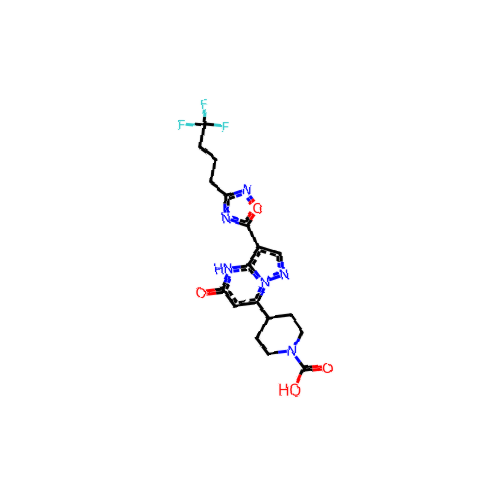 O=C(O)N1CCC(c2cc(=O)[nH]c3c(-c4nc(CCCC(F)(F)F)no4)cnn23)CC1